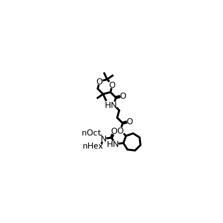 CCCCCCCCN(CCCCCC)C(=O)NC1CCCCCC1OC(=O)CCNC(=O)C1OC(C)(C)OCC1(C)C